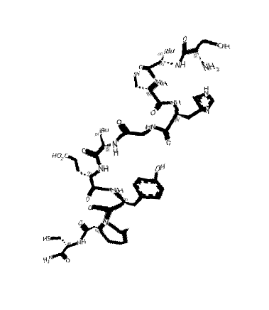 CC[C@H](C)[C@H](NC(=O)CNC(=O)[C@H](Cc1c[nH]cn1)NC(=O)[C@H](CS)NC(=O)[C@@H](NC(=O)[C@@H](N)CO)[C@@H](C)CC)C(=O)N[C@@H](CCC(=O)O)C(=O)N[C@@H](Cc1ccc(O)cc1)C(=O)N1CCC[C@H]1C(=O)N[C@@H](CS)C(N)=O